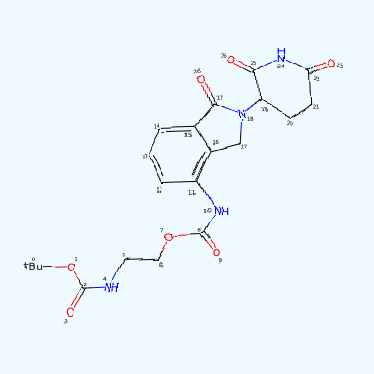 CC(C)(C)OC(=O)NCCOC(=O)Nc1cccc2c1CN(C1CCC(=O)NC1=O)C2=O